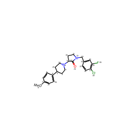 COc1ccc(C2CCN(C3CCN(Cc4ccc(Cl)c(F)c4)C3=O)CC2)cc1